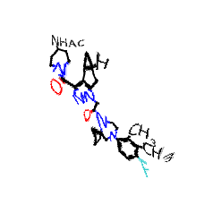 CC(=O)NC1CCN(C(=O)c2nn(CC(=O)N3CCN(c4ccc(F)c(C)c4C)CC34CC4)c3c2C2C[C@@H]2C3)CC1